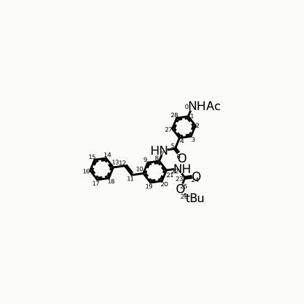 CC(=O)Nc1ccc(C(=O)Nc2cc(C=Cc3ccccc3)ccc2NC(=O)OC(C)(C)C)cc1